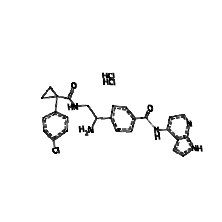 Cl.Cl.NC(CNC(=O)C1(c2ccc(Cl)cc2)CC1)c1ccc(C(=O)Nc2ccnc3[nH]ccc23)cc1